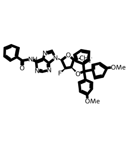 [CH2][C@H]1O[C@@H](n2cnc3c(NC(=O)c4ccccc4)ncnc32)[C@H](F)[C@@H]1OC(c1ccccc1)(c1ccc(OC)cc1)c1ccc(OC)cc1